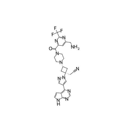 N#CC[C@]1(n2cc(-c3ncnc4[nH]ccc34)cn2)C[C@H](N2CCN(C(=O)c3cc(CN)nc(C(F)(F)F)n3)CC2)C1